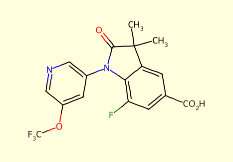 CC1(C)C(=O)N(c2cncc(OC(F)(F)F)c2)c2c(F)cc(C(=O)O)cc21